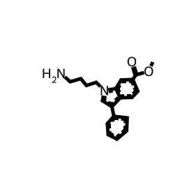 COC(=O)c1ccc2c(-c3ccccc3)cn(CCCCN)c2c1